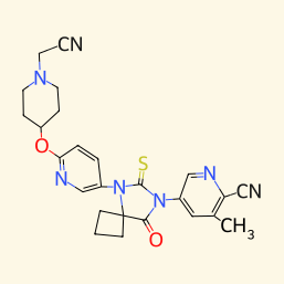 Cc1cc(N2C(=O)C3(CCC3)N(c3ccc(OC4CCN(CC#N)CC4)nc3)C2=S)cnc1C#N